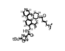 CN(C)CC=CC(=O)N1CCN(c2cnccc2-c2ccc(CNC(=O)c3noc(C(C)(C)C)n3)c(C(F)F)c2)CC1